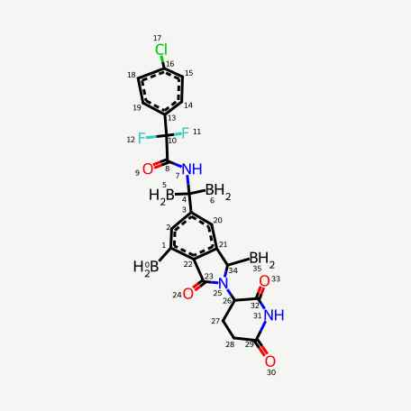 Bc1cc(C(B)(B)NC(=O)C(F)(F)c2ccc(Cl)cc2)cc2c1C(=O)N(C1CCC(=O)NC1=O)C2B